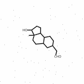 CC12CCC3CC(CC=O)CCC3C1CCC2O